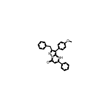 COc1ccc(-c2c(Cc3ccccc3)nn3c(=O)cc(-c4ccccc4)[nH]c23)cc1